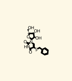 O=c1[nH]c(=O)n([C@@H]2O[C@H](CO)[C@@H](O)[C@H]2O)cc1SCc1ccccc1